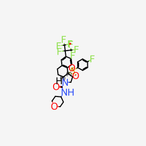 O=C(NC1CCOCC1)N1CC[C@@]2(S(=O)(=O)c3ccc(F)cc3)c3ccc(C(F)(C(F)(F)F)C(F)(F)F)cc3CC[C@@H]12